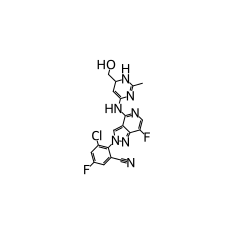 CC1=NC(Nc2ncc(F)c3nn(-c4c(Cl)cc(F)cc4C#N)cc23)=CC(CO)N1